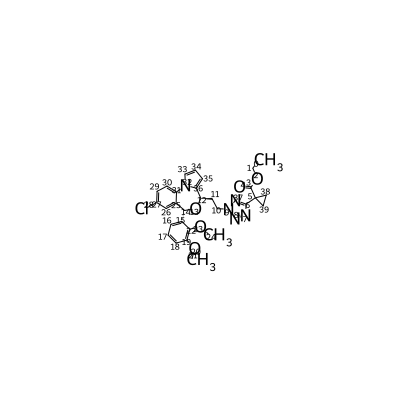 CCOC(=O)C1(c2nnn(CC[C@H]3O[C@H](c4cccc(OC)c4OC)c4cc(Cl)ccc4-n4cccc43)n2)CC1